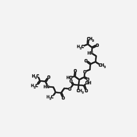 C=C(C)C(=O)NCC(C)C(=O)COC(=O)C(C(=O)O)C(C)(C(=O)O)C(=O)OCC(=O)C(C)CNC(=O)C(=C)C